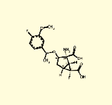 COc1cc(C(C)O[C@@H]2C[C@@H]3[C@H]([C@]2(N)C(=O)O)[C@@]3(F)C(=O)O)ccc1F